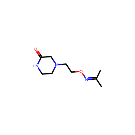 CC(C)=NOCCN1CCNC(=O)C1